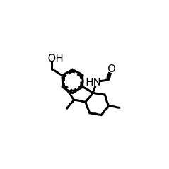 CC1CCC(C(C)C)C(NC=O)(c2ccc(CO)cc2)C1